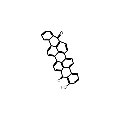 O=C1c2ccccc2-c2ccc3c4ccc5c6c(ccc(c7ccc1c2c37)c64)-c1cccc(O)c1C5=O